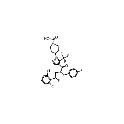 O=C(O)C1CCC(n2ncc(C(=O)N(Cc3ccc(F)cc3)CC(F)c3c(Cl)cccc3Cl)c2C(F)(F)F)CC1